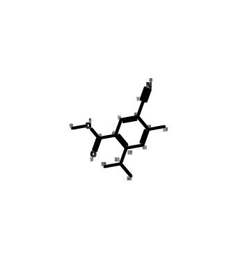 COC(=O)c1cc(C#N)c(C)cc1C(C)C